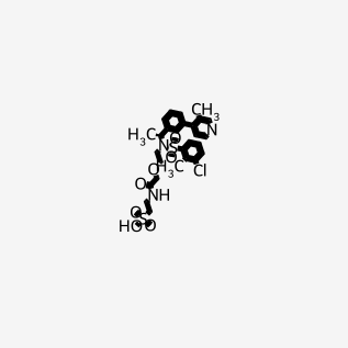 Cc1cnccc1-c1cccc([C@H](C)N(CCOCC(=O)NCCS(=O)(=O)O)S(=O)(=O)c2cccc(Cl)c2C)c1